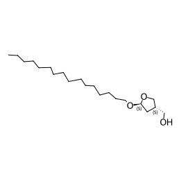 CCCCCCCCCCCCCCCCO[C@@H]1C[C@@H](CO)CO1